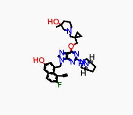 C#Cc1c(F)ccc2cc(O)cc(Cn3cnc4c(OCC5(CN6CCCC(C)(O)C6)CC5)nc(N5C[C@H]6CC[C@@H](C5)N6)nc43)c12